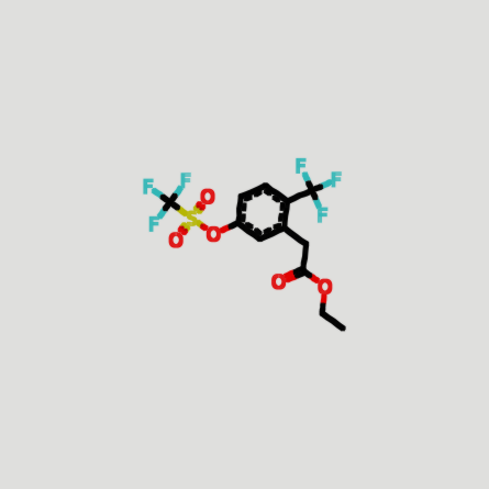 CCOC(=O)Cc1cc(OS(=O)(=O)C(F)(F)F)ccc1C(F)(F)F